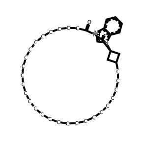 O=C1CCCCCCCCCCCCCCCCCCCCCCCCCCCC2CC(n3cnc4ccccc43)(C2)C(=O)N1